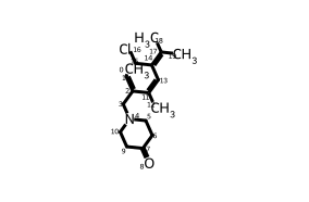 C/C=C(CN1CCC(=O)CC1)\C(C)=C/C(CCl)=C(C)C